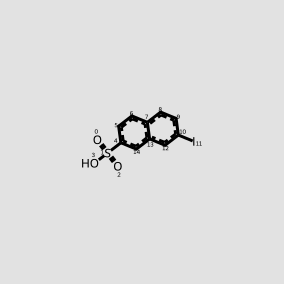 O=S(=O)(O)c1ccc2ccc(I)cc2c1